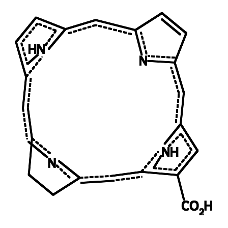 O=C(O)c1cc2cc3nc(cc4ccc(cc5nc(cc1[nH]2)CC5)[nH]4)C=C3